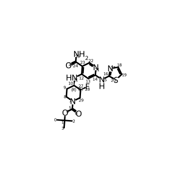 CC(C)(C)OC(=O)N1CC[C@@H](Nc2cc(Nc3nccs3)ncc2C(N)=O)[C@@H](F)C1